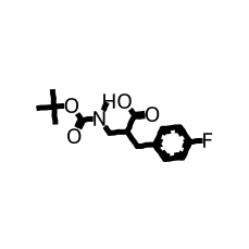 CN(CC(Cc1ccc(F)cc1)C(=O)O)C(=O)OC(C)(C)C